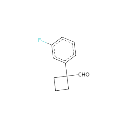 O=CC1(c2cccc(F)c2)CCC1